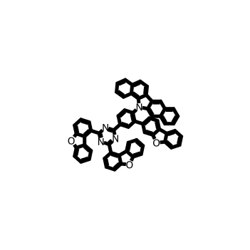 c1ccc2cc3c(cc2c1)c1ccc2ccccc2c1n3-c1ccc(-c2nc(-c3cccc4oc5ccccc5c34)nc(-c3cccc4oc5ccccc5c34)n2)cc1-c1ccc2c(c1)oc1ccccc12